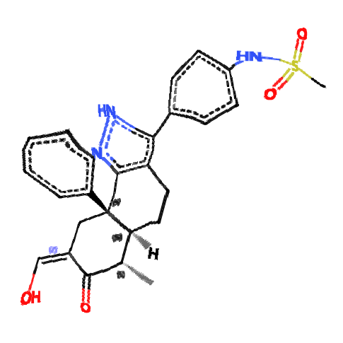 C[C@@H]1C(=O)/C(=C\O)C[C@]2(c3ccccc3)c3n[nH]c(-c4ccc(NS(C)(=O)=O)cc4)c3CC[C@@H]12